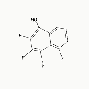 Oc1c(F)c(F)c(F)c2c(F)cccc12